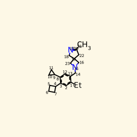 CCc1cc(C2CCC2)c(C2CC2)cc1CN1CC2(CN=C(C)C2)C1